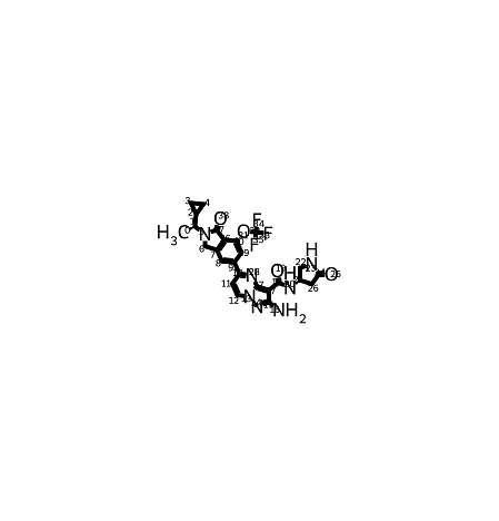 C[C@@H](C1CC1)N1Cc2cc(-c3ccn4nc(N)c(C(=O)N[C@H]5CNC(=O)C5)c4n3)cc(OC(F)(F)F)c2C1=O